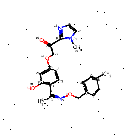 CC(=NOCc1ccc(C(F)(F)F)cc1)c1ccc(OCC(=O)c2nccn2C)cc1O